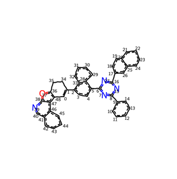 C1=C(c2ccc(-c3nc(-c4ccccc4)nc(-c4ccc5ccccc5c4)n3)c3ccccc23)CCc2oc3ncc4ccccc4c3c21